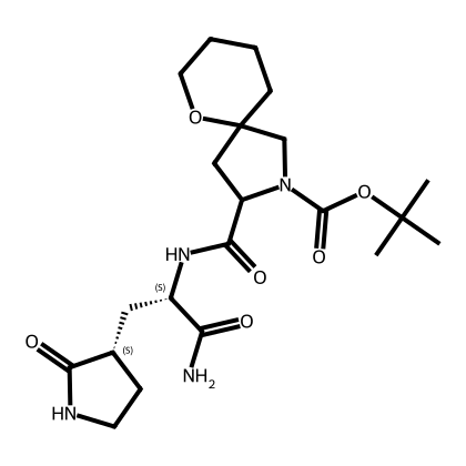 CC(C)(C)OC(=O)N1CC2(CCCCO2)CC1C(=O)N[C@@H](C[C@@H]1CCNC1=O)C(N)=O